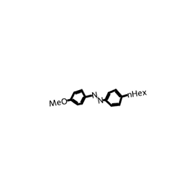 CCCCCCc1ccc(N=Nc2ccc(OC)cc2)cc1